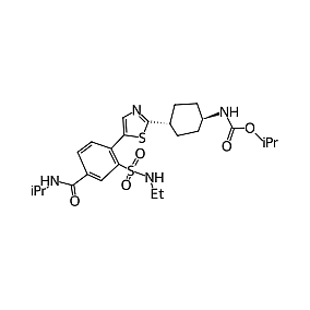 CCNS(=O)(=O)c1cc(C(=O)NC(C)C)ccc1-c1cnc([C@H]2CC[C@H](NC(=O)OC(C)C)CC2)s1